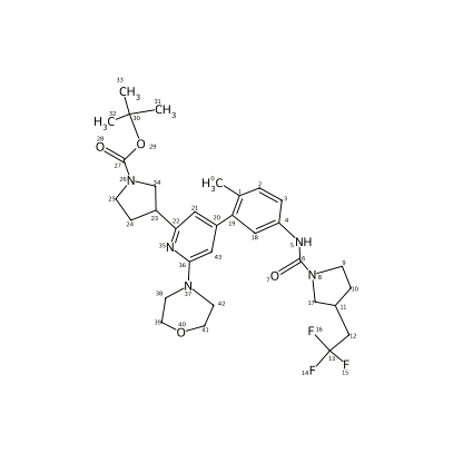 Cc1ccc(NC(=O)N2CCC(CC(F)(F)F)C2)cc1-c1cc(C2CCN(C(=O)OC(C)(C)C)C2)nc(N2CCOCC2)c1